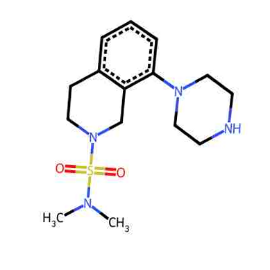 CN(C)S(=O)(=O)N1CCc2cccc(N3CCNCC3)c2C1